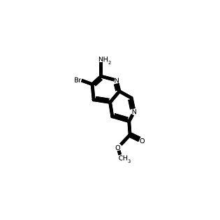 COC(=O)c1cc2cc(Br)c(N)nc2cn1